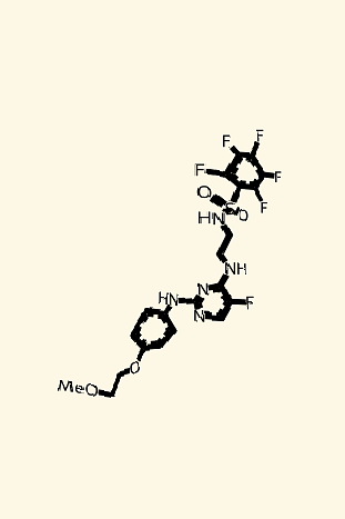 COCCOc1ccc(Nc2ncc(F)c(NCCNS(=O)(=O)c3c(F)c(F)c(F)c(F)c3F)n2)cc1